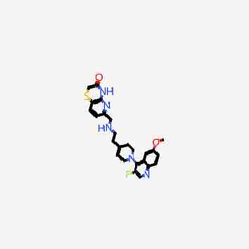 COc1ccc2ncc(F)c(N3CCC(CCNCc4ccc5c(n4)NC(=O)CS5)CC3)c2c1